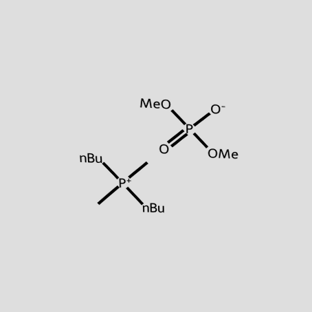 CCCC[P+](C)(C)CCCC.COP(=O)([O-])OC